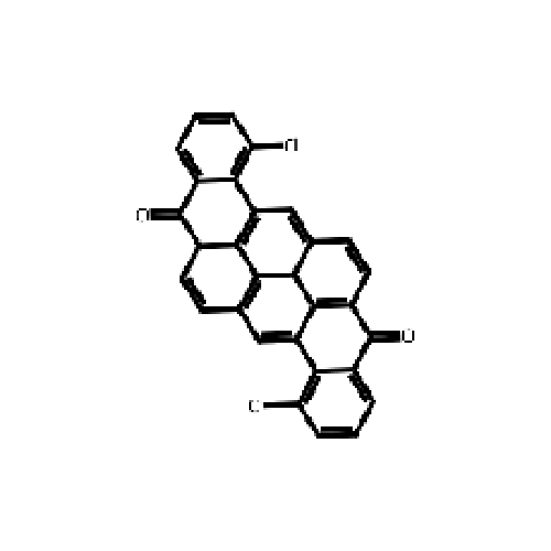 O=C1C2=C3C(=CC4=C5C6=C(C=C(C=C2)C53)c2c(Cl)cccc2C(=O)C6C=C4)c2c(Cl)cccc21